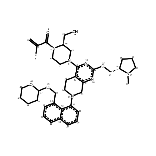 C=C(F)C(=O)N1CCN(c2nc(OC[C@@H]3CCCN3C)nc3c2CCN(c2cccc4cccc(COC5CCCCO5)c24)C3)C[C@@H]1CC#N